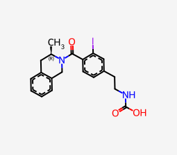 C[C@@H]1Cc2ccccc2CN1C(=O)c1ccc(CCNC(=O)O)cc1I